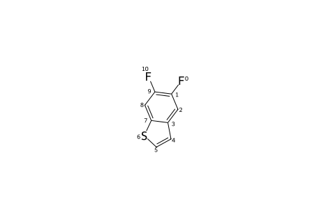 Fc1cc2ccsc2cc1F